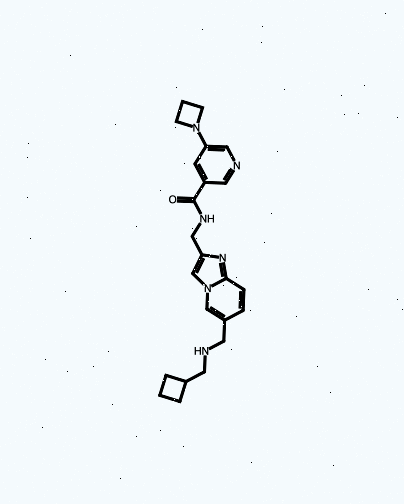 O=C(NCc1cn2cc(CNCC3CCC3)ccc2n1)c1cncc(N2CCC2)c1